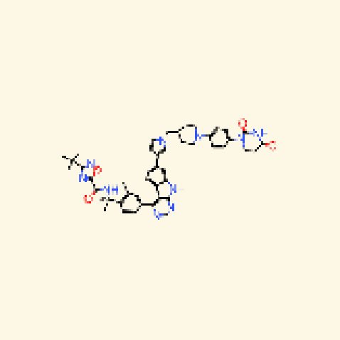 Cc1cc(-c2ncnc3[nH]c4cc(-c5ccn(CC6CCN(c7ccc(N8CCC(=O)NC8=O)cc7)CC6)c5)ccc4c23)ccc1[C@@H](C)NC(=O)c1nc(C(C)(C)C)no1